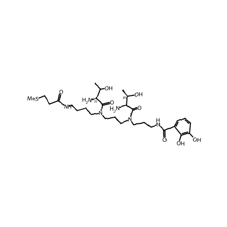 CSCCC(=O)NCCCCN(CCCN(CCCNC(=O)c1cccc(O)c1O)C(=O)C(N)[C@@H](C)O)C(=O)[C@@H](N)C(C)O